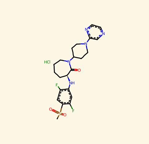 CS(=O)(=O)c1cc(F)c(N[C@H]2CCCCN(C3CCN(c4cnccn4)CC3)C2=O)cc1F.Cl